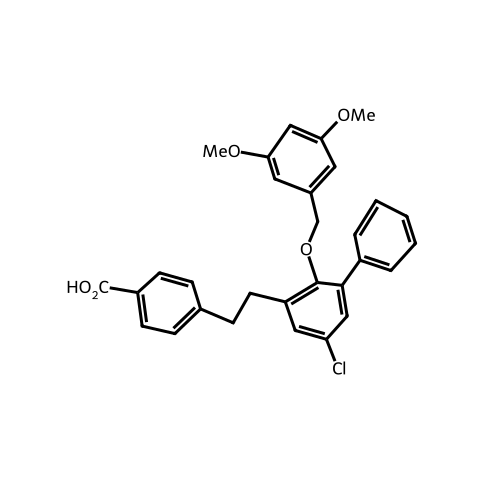 COc1cc(COc2c(CCc3ccc(C(=O)O)cc3)cc(Cl)cc2-c2ccccc2)cc(OC)c1